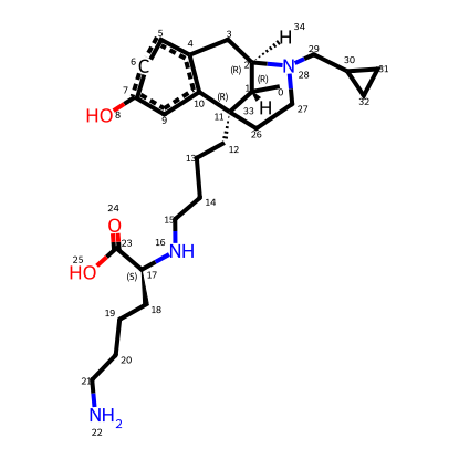 C[C@H]1[C@H]2Cc3ccc(O)cc3[C@]1(CCCCN[C@@H](CCCCN)C(=O)O)CCN2CC1CC1